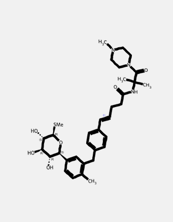 CS[C@H]1O[C@@H](c2ccc(C)c(Cc3ccc(/C=C/CCC(=O)NC(C)(C)C(=O)N4CCN(C)CC4)cc3)c2)[C@H](O)[C@@H](O)[C@@H]1O